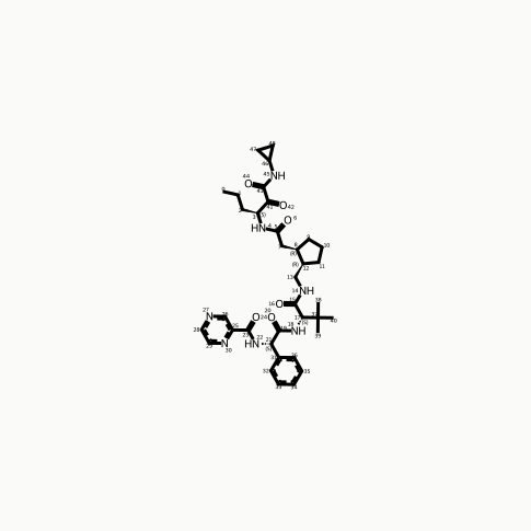 CCC[C@H](NC(=O)C[C@H]1CCC[C@H]1CNC(=O)[C@@H](NC(=O)[C@@H](NC(=O)c1cnccn1)c1ccccc1)C(C)(C)C)C(=O)C(=O)NC1CC1